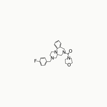 O=C(N1CCOCC1)N1Cc2ccccc2N2CCN(Cc3ccc(F)cc3)CC2C1